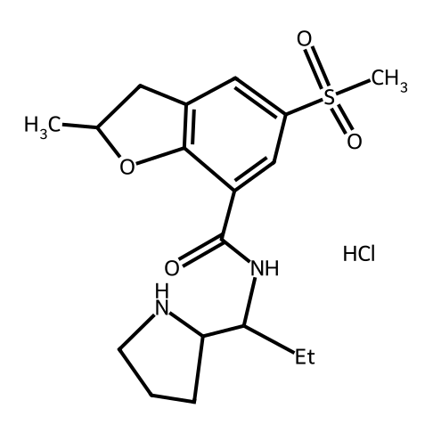 CCC(NC(=O)c1cc(S(C)(=O)=O)cc2c1OC(C)C2)C1CCCN1.Cl